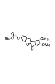 COc1cc2c(cc1OC)C(=Cc1ccc(OCC(=O)OC(C)(C)C)cc1)C(=O)N2